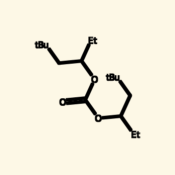 CCC(CC(C)(C)C)OC(=O)OC(CC)CC(C)(C)C